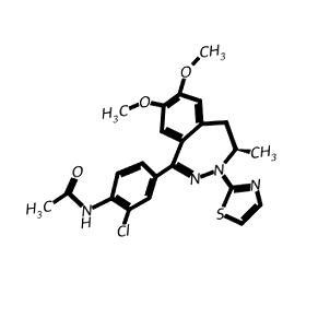 COc1cc2c(cc1OC)C(c1ccc(NC(C)=O)c(Cl)c1)=NN(c1nccs1)[C@H](C)C2